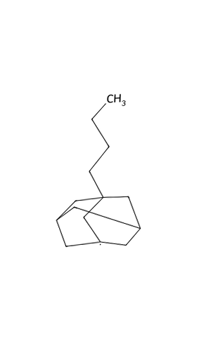 CCCCC12C[C]3CC(CC(C3)C1)C2